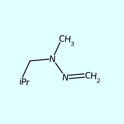 C=NN(C)CC(C)C